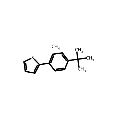 C.CC(C)(C)c1ccc(-c2cccs2)cc1